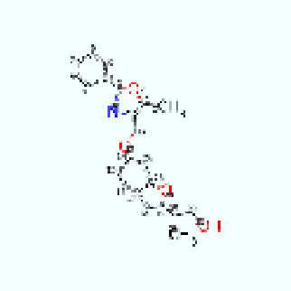 Cc1oc(-c2ccccc2)nc1COc1ccc2cc(C(C)CO)oc2c1